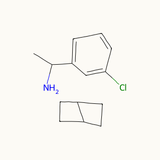 C1CC2CCC12.CC(N)c1cccc(Cl)c1